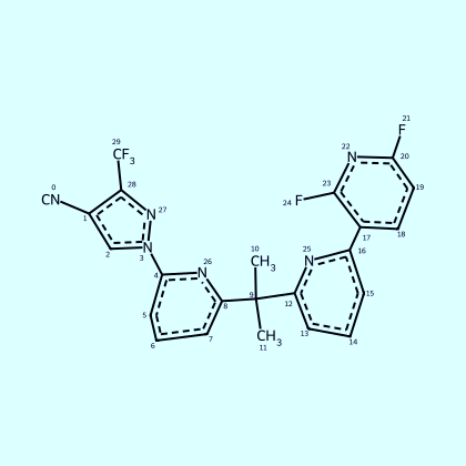 [C-]#[N+]c1cn(-c2cccc(C(C)(C)c3cccc(-c4ccc(F)nc4F)n3)n2)nc1C(F)(F)F